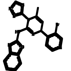 CC1=CC(c2ccncc2Br)N=C(Nc2nc3ccccc3o2)N1c1nncs1